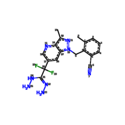 Cc1cccc(C#N)c1Cn1nc(C)c2ncc(C(F)(F)/C(=N/N)NN)cc21